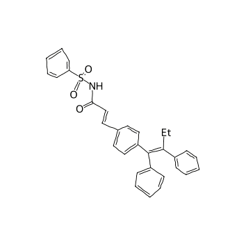 CCC(=C(c1ccccc1)c1ccc(C=CC(=O)NS(=O)(=O)c2ccccc2)cc1)c1ccccc1